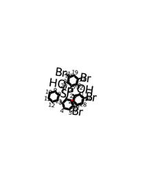 C[Si](c1ccccc1)(c1ccccc1)P(c1cc(Br)cc(Br)c1O)c1cc(Br)cc(Br)c1O